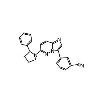 N#Cc1cccc(-c2cnc3ccc(N4CCCC4c4ccccc4)nn23)c1